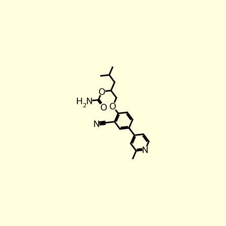 Cc1cc(-c2ccc(OCC(CC(C)C)OC(N)=O)c(C#N)c2)ccn1